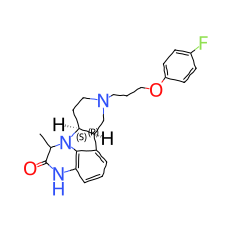 CC1C(=O)Nc2cccc3c2N1[C@H]1CCN(CCCOc2ccc(F)cc2)C[C@@H]31